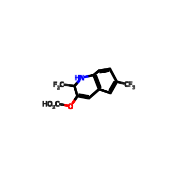 O=C(O)OC1=Cc2cc(C(F)(F)F)ccc2NC1C(F)(F)F